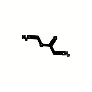 C=COC(=O)C=C